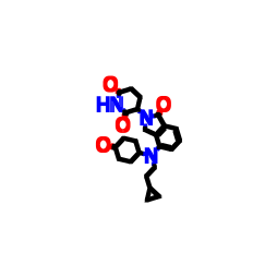 O=C1CCC(N(CCC2CC2)c2cccc3c2CN(C2CCC(=O)NC2=O)C3=O)CC1